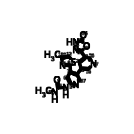 CNC(=O)Nc1cc(-c2nc(C)cs2)c(-c2cncc(-c3n[nH]c(=O)o3)c2)cn1